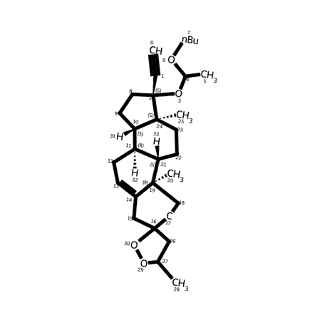 C#C[C@]1(OC(C)OCCCC)CC[C@H]2[C@@H]3CC=C4CC5(CC[C@]4(C)[C@H]3CC[C@@]21C)CC(C)OO5